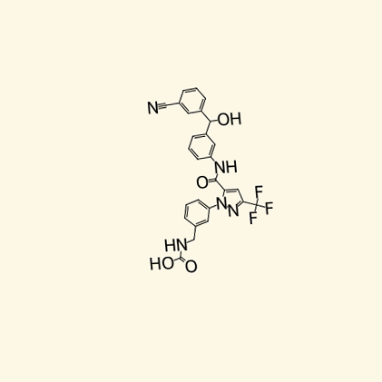 N#Cc1cccc(C(O)c2cccc(NC(=O)c3cc(C(F)(F)F)nn3-c3cccc(CNC(=O)O)c3)c2)c1